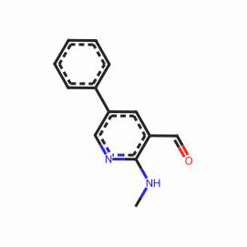 CNc1ncc(-c2ccccc2)cc1C=O